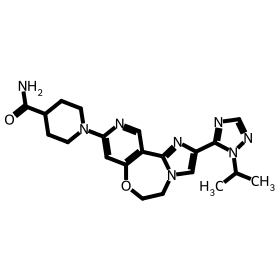 CC(C)n1ncnc1-c1cn2c(n1)-c1cnc(N3CCC(C(N)=O)CC3)cc1OCC2